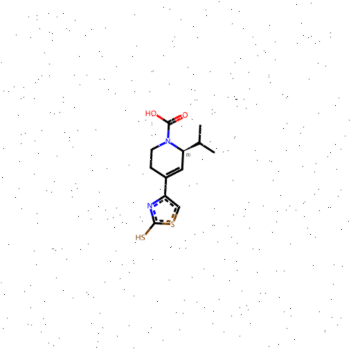 CC(C)[C@H]1C=C(c2csc(S)n2)CCN1C(=O)O